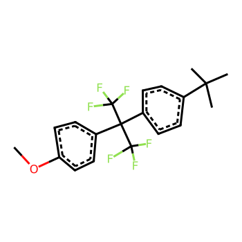 COc1ccc(C(c2ccc(C(C)(C)C)cc2)(C(F)(F)F)C(F)(F)F)cc1